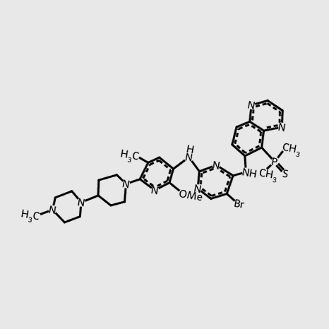 COc1nc(N2CCC(N3CCN(C)CC3)CC2)c(C)cc1Nc1ncc(Br)c(Nc2ccc3nccnc3c2P(C)(C)=S)n1